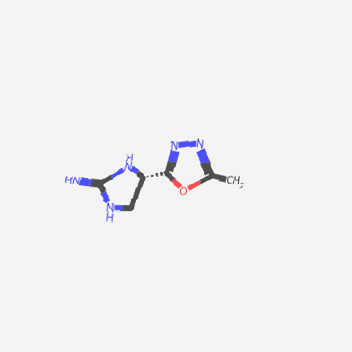 Cc1nnc([C@@H]2CNC(=N)N2)o1